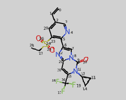 C=Cc1cnc(-c2cn3c(=O)n(C4CC4)c(C(F)(F)F)cc3n2)c(S(=O)(=O)CC)c1